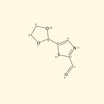 O=Cc1ncc(C2OCCO2)s1